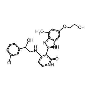 Cc1cc(OCCO)cc2[nH]c(-c3c(NCC(O)c4cccc(Cl)c4)cc[nH]c3=O)nc12